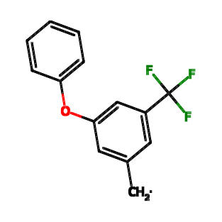 [CH2]c1cc(Oc2ccccc2)cc(C(F)(F)F)c1